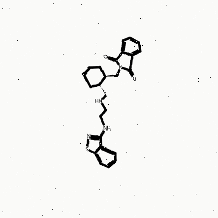 O=C1c2ccccc2C(=O)N1C[C@@H]1CCCC[C@H]1CNCCNc1nsc2ccccc12